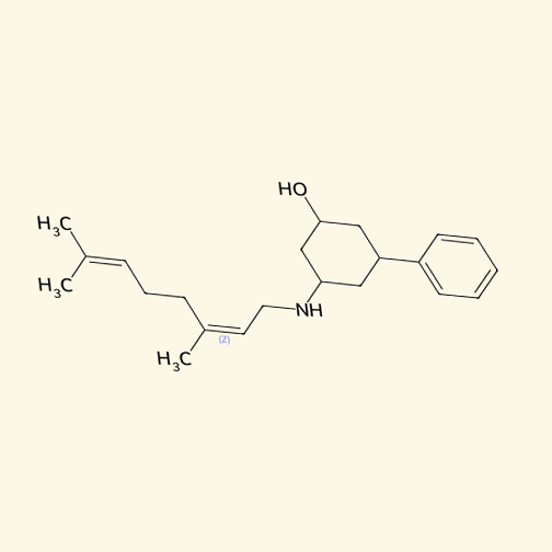 CC(C)=CCC/C(C)=C\CNC1CC(O)CC(c2ccccc2)C1